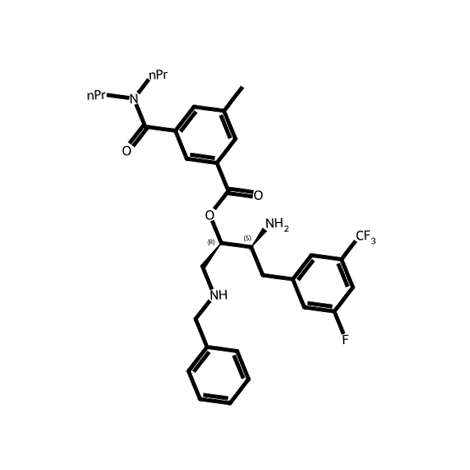 CCCN(CCC)C(=O)c1cc(C)cc(C(=O)O[C@H](CNCc2ccccc2)[C@@H](N)Cc2cc(F)cc(C(F)(F)F)c2)c1